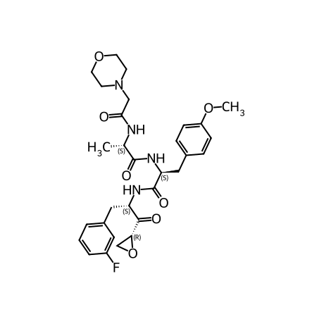 COc1ccc(C[C@H](NC(=O)[C@H](C)NC(=O)CN2CCOCC2)C(=O)N[C@@H](Cc2cccc(F)c2)C(=O)[C@H]2CO2)cc1